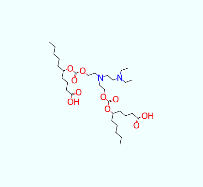 CCCCCC(CCCC(=O)O)OC(=O)OCCN(CCOC(=O)OC(CCCCC)CCCC(=O)O)CCN(CC)CC